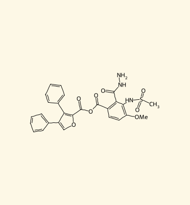 COc1ccc(C(=O)OC(=O)c2occ(-c3ccccc3)c2-c2ccccc2)c(C(=O)NN)c1NS(C)(=O)=O